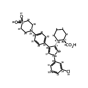 O=C(O)[C@@H]1CCCC[C@H]1c1nn(-c2cncc(Cl)c2)cc1-c1ccc(N2CCS(=O)(=O)CC2)cc1